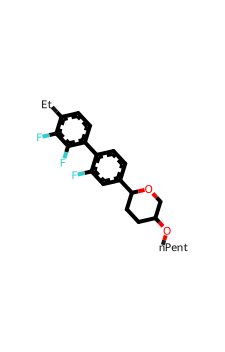 CCCCCOC1CCC(c2ccc(-c3ccc(CC)c(F)c3F)c(F)c2)OC1